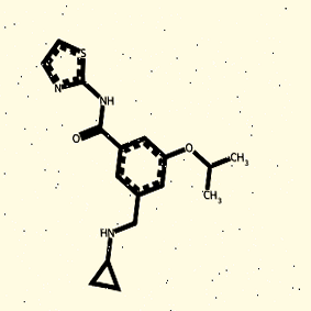 CC(C)Oc1cc(CNC2CC2)cc(C(=O)Nc2nccs2)c1